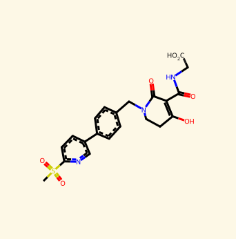 CS(=O)(=O)c1ccc(-c2ccc(CN3CCC(O)=C(C(=O)NCC(=O)O)C3=O)cc2)cn1